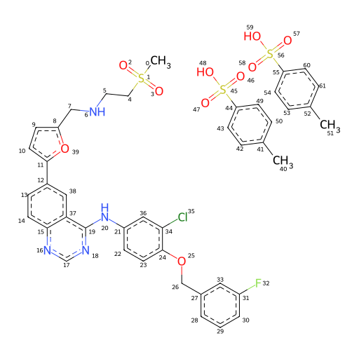 CS(=O)(=O)CCNCc1ccc(-c2ccc3ncnc(Nc4ccc(OCc5cccc(F)c5)c(Cl)c4)c3c2)o1.Cc1ccc(S(=O)(=O)O)cc1.Cc1ccc(S(=O)(=O)O)cc1